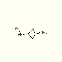 CCN[C@H]1C[C@@H](N)C1